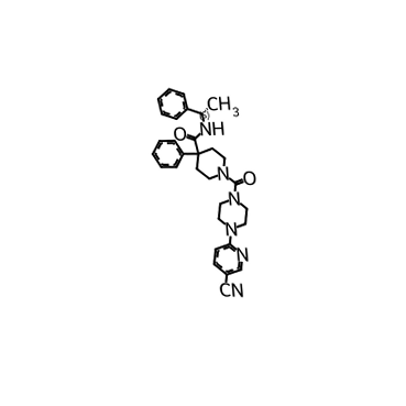 C[C@H](NC(=O)C1(c2ccccc2)CCN(C(=O)N2CCN(c3ccc(C#N)cn3)CC2)CC1)c1ccccc1